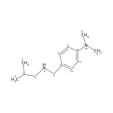 CC(C)CNCc1ccc(N(C)C)cc1